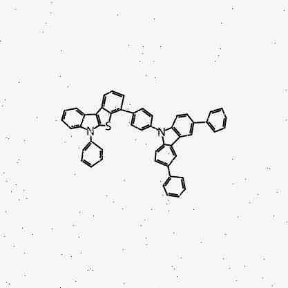 c1ccc(-c2ccc3c(c2)c2cc(-c4ccccc4)ccc2n3-c2ccc(-c3cccc4c3sc3c4c4ccccc4n3-c3ccccc3)cc2)cc1